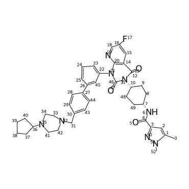 Cc1cc(C(=O)N[C@H]2CC[C@@H](n3c(=O)c4cc(F)cnc4n(-c4cccc(-c5ccc(CN6CCN(C7CCCC7)CC6)cc5)c4)c3=O)CC2)nn1C